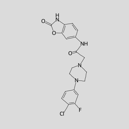 O=C(CN1CCN(c2ccc(Cl)c(F)c2)CC1)Nc1ccc2[nH]c(=O)oc2c1